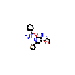 Nc1c(-c2ccco2)cc(-c2cccs2)nc1OC(N)c1ccccc1